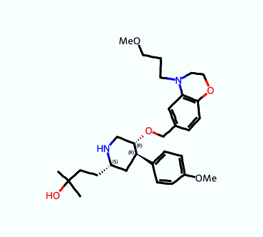 COCCCN1CCOc2ccc(CO[C@H]3CN[C@@H](CCC(C)(C)O)C[C@@H]3c3ccc(OC)cc3)cc21